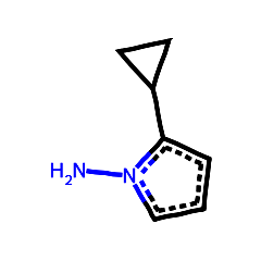 Nn1cccc1C1CC1